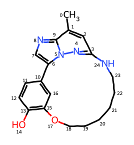 Cc1cc2nn3c(cnc13)-c1ccc(O)c(c1)OCCCCCCN2